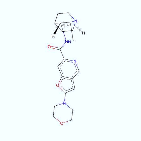 C[C@H]1[C@H](NC(=O)c2cc3oc(N4CCOCC4)cc3cn2)C2CCN1CC2